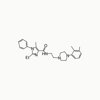 CCc1nc(C(=O)NCCN2CCN(c3cccc(C)c3C)CC2)c(C)n1-c1ccccc1